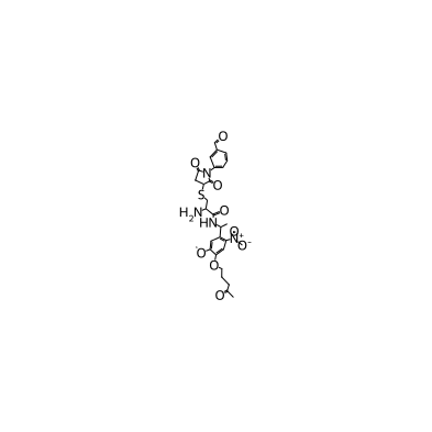 COc1cc(C(C)NC(=O)C(N)CSC2CC(=O)N(c3cccc(C=O)c3)C2=O)c([N+](=O)[O-])cc1OCCCC(C)=O